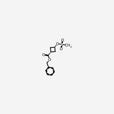 CS(=O)(=O)O[C@H]1C[C@@H](C(=O)OCc2ccccc2)C1